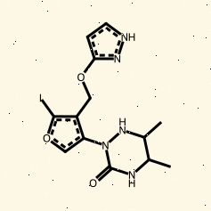 CC1NC(=O)N(c2coc(I)c2COc2cc[nH]n2)NC1C